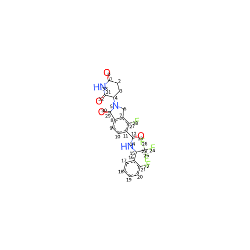 O=C1CCC(N2Cc3c(ccc(C(=O)NC(c4ccccc4F)C(F)(F)F)c3F)C2=O)C(=O)N1